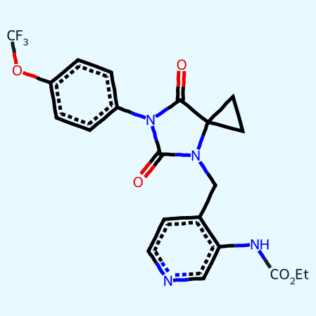 CCOC(=O)Nc1cnccc1CN1C(=O)N(c2ccc(OC(F)(F)F)cc2)C(=O)C12CC2